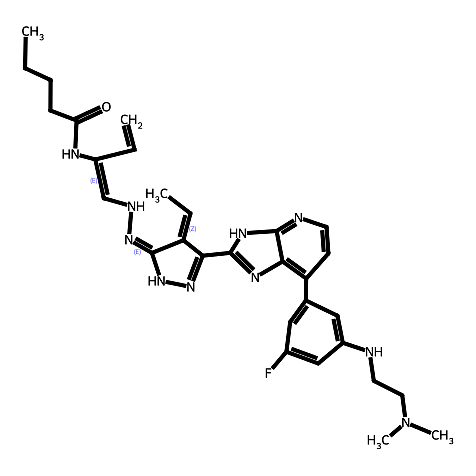 C=C/C(=C\N/N=C1/NN=C(c2nc3c(-c4cc(F)cc(NCCN(C)C)c4)ccnc3[nH]2)/C1=C/C)NC(=O)CCCC